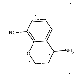 N#Cc1cccc2c1OCCC2N